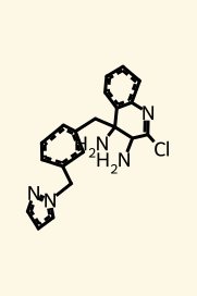 NC1C(Cl)=Nc2ccccc2C1(N)Cc1cccc(Cn2cccn2)c1